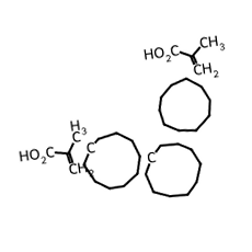 C1CCCCCCCCC1.C1CCCCCCCCC1.C1CCCCCCCCC1.C=C(C)C(=O)O.C=C(C)C(=O)O